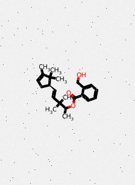 CC1=CC[C@H](C=CC(C)(C)C(C)OC(=O)c2ccccc2CO)C1(C)C